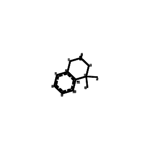 CC1(C)CSCc2ccccc21